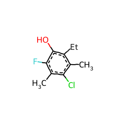 CCc1c(C)c(Cl)c(C)c(F)c1O